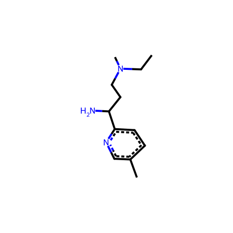 CCN(C)CCC(N)c1ccc(C)cn1